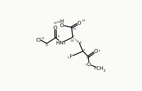 COC(=O)C(F)C[C@H](NC(=O)CCl)C(=O)O